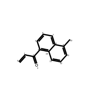 C=CC(=O)c1cccc2c(C)cccc12